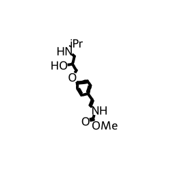 COC(=O)N/C=C/c1ccc(OCC(O)CNC(C)C)cc1